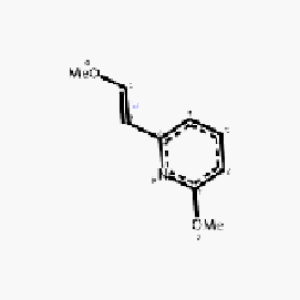 CO/C=C/c1cccc(OC)n1